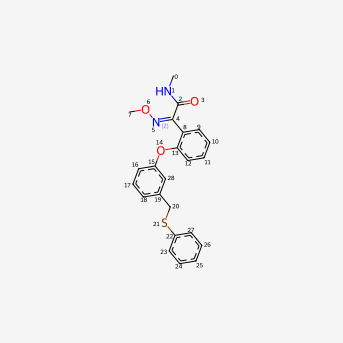 CNC(=O)/C(=N\OC)c1ccccc1Oc1cccc(CSc2ccccc2)c1